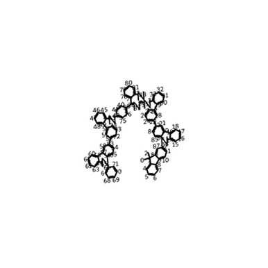 CC1(C)c2ccccc2-c2ccc(-n3c4ccccc4c4cc(-c5ccc6c(c5)c5ccccc5n6-c5nc(-c6ccc(-n7c8ccccc8c8cc(-c9ccc%10c(c9)c9ccccc9n%10-c9ccccc9)ccc87)cc6)c6ccccc6n5)ccc43)cc21